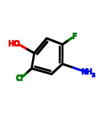 Nc1cc(Cl)c(O)cc1F